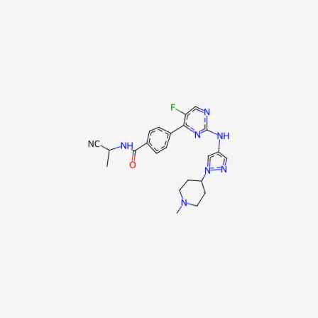 CC(C#N)NC(=O)c1ccc(-c2nc(Nc3cnn(C4CCN(C)CC4)c3)ncc2F)cc1